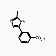 Cc1nnc(-c2cccc(C(=O)O)c2)[nH]1